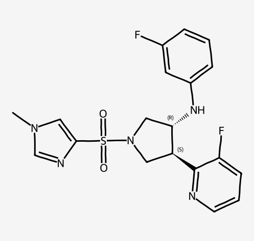 Cn1cnc(S(=O)(=O)N2C[C@H](Nc3cccc(F)c3)[C@@H](c3ncccc3F)C2)c1